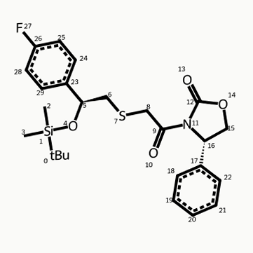 CC(C)(C)[Si](C)(C)O[C@H](CSCC(=O)N1C(=O)OC[C@@H]1c1ccccc1)c1ccc(F)cc1